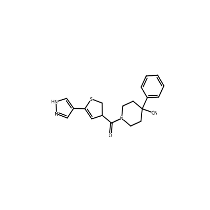 N#CC1(c2ccccc2)CCN(C(=O)C2C=C(c3cn[nH]c3)SC2)CC1